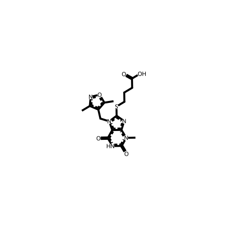 Cc1noc(C)c1Cn1c(SCCCC(=O)O)nc2c1c(=O)[nH]c(=O)n2C